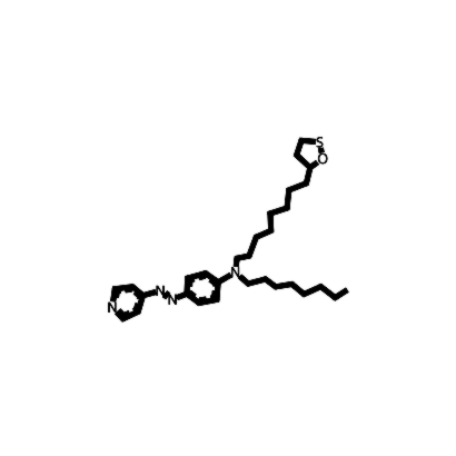 CCCCCCCCN(CCCCCCCCC1CCSO1)c1ccc(/N=N/c2ccncc2)cc1